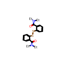 CCN(CC)C(=O)c1ccccc1SSc1ccccc1C(=O)N(CC)CC